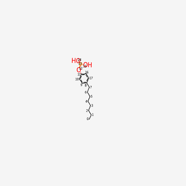 CCCCCCCCc1ccc(OP(O)O)cc1